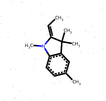 C/C=C1/N(C)c2ccc(C)cc2C1(C)C